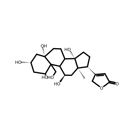 C[C@]12C[C@@H](O)C3C(CC[C@]4(O)C[C@@H](O)C[C@@H](O)C34CO)[C@@]1(O)CC[C@@H]2C1=CC(=O)OC1